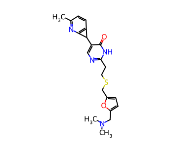 Cc1ccc2c(n1)C2c1cnc(CCSCc2ccc(CN(C)C)o2)[nH]c1=O